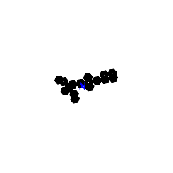 C1=CC2=C(c3ccc(-c4ccc5c6cccc7cccc(c8cccc4c85)c76)cc3)c3ccccc3C(c3ccc(-c4ccc5c(-c6ccc7ccccc7c6)c6ccccc6c(-c6ccc7ccccc7c6)c5c4)cn3)C2C=C1